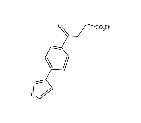 CCOC(=O)CCC(=O)c1ccc(-c2ccoc2)cc1